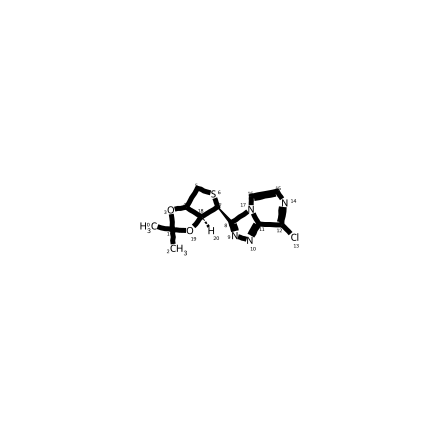 CC1(C)OC2CS[C@@H](c3nnc4c(Cl)nccn34)[C@H]2O1